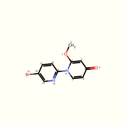 COc1cc(=O)ccn1-c1ccc(Br)cn1